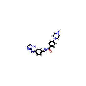 CN1CCN(c2ccc(C(=O)NCc3ccc(NC4=NCCN4)cc3)cc2)CC1